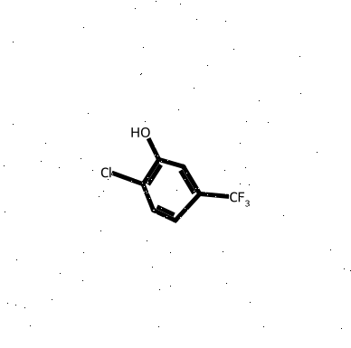 Oc1cc(C(F)(F)F)ccc1Cl